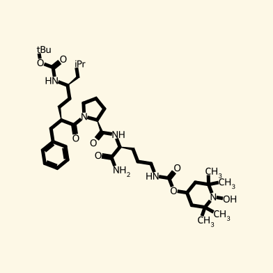 CC(C)C[C@@H](CC[C@H](Cc1ccccc1)C(=O)N1CCC[C@H]1C(=O)N[C@@H](CCCNC(=O)OC1CC(C)(C)N(O)C(C)(C)C1)C(N)=O)NC(=O)OC(C)(C)C